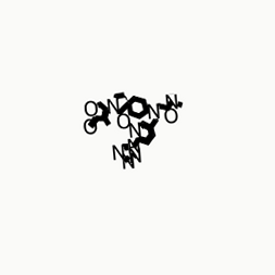 CC1=C(N2CC[C@]3(CC[C@H](N(CC(=O)N(C)C)Cc4ccc(-n5cnnn5)nc4)CC3)C2=O)COC1=O